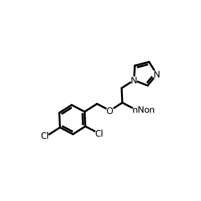 CCCCCCCCCC(Cn1ccnc1)OCc1ccc(Cl)cc1Cl